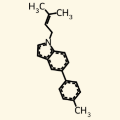 CC(C)=CCn1ccc2cc(-c3ccc(C)cc3)ccc21